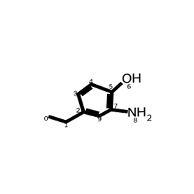 CCc1ccc(O)c(N)c1